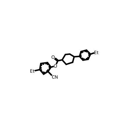 CCc1ccc(C2CCC(C(=O)Oc3ccc(CC)cc3C#N)CC2)cc1